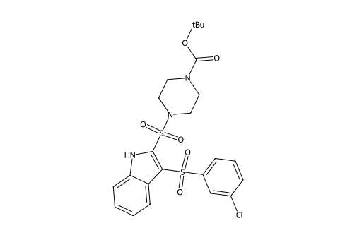 CC(C)(C)OC(=O)N1CCN(S(=O)(=O)c2[nH]c3ccccc3c2S(=O)(=O)c2cccc(Cl)c2)CC1